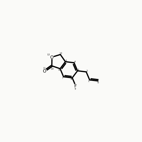 C=CCc1cc2c(cc1F)C(=O)OC2